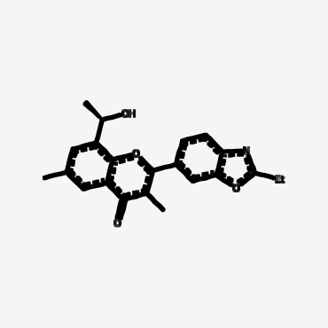 CCc1nc2ccc(-c3oc4c([C@@H](C)O)cc(C)cc4c(=O)c3C)cc2o1